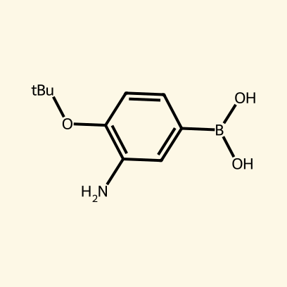 CC(C)(C)Oc1ccc(B(O)O)cc1N